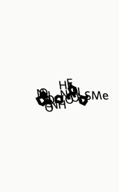 CSc1cccc(Oc2ncc(F)cc2C(=O)N[C@H]2CC[C@@H](NS(=O)(=O)c3cccc4nonc34)CC2)c1